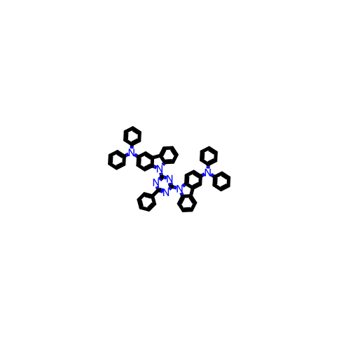 c1ccc(-c2nc(-n3c4ccccc4c4cc(N(c5ccccc5)c5ccccc5)ccc43)nc(-n3c4ccccc4c4cc(N(c5ccccc5)c5ccccc5)ccc43)n2)cc1